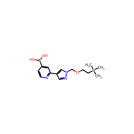 C[Si](C)(C)CCOCn1cc(-c2cc(B(O)O)ccn2)cn1